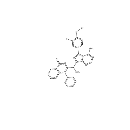 CC(C)Oc1ccc(-c2nn(C(C)c3oc(=O)c4ccccc4c3-c3ccccc3)c3ncnc(N)c23)cc1F